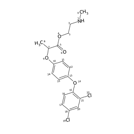 CNCCOC(=O)C(C)Oc1ccc(Oc2ccc(Cl)cc2Cl)cc1